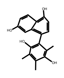 Cc1c(C)c(O)c(-c2ccc(O)c3ccc(O)cc23)c(C)c1O